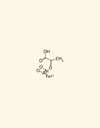 CC(=O)C(=O)O.CC(=O)[O-].CC(=O)[O-].[Fe+2]